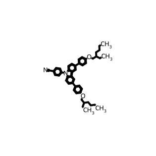 CCCCC(CC)COc1ccc(-c2ccc3c(c2)c2cc(-c4ccc(OCC(CC)CCCC)cc4)ccc2n3-c2ccc(C#N)cc2)cc1